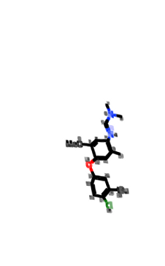 COc1cc(/N=C/N(C)C)c(C)cc1Oc1ccc(Cl)c(C(C)(C)C)c1